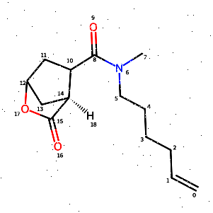 C=CCCCCN(C)C(=O)C1CC2C[C@@H]1C(=O)O2